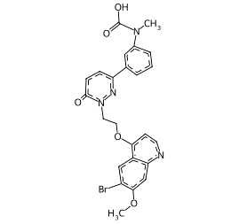 COc1cc2nccc(OCCn3nc(-c4cccc(N(C)C(=O)O)c4)ccc3=O)c2cc1Br